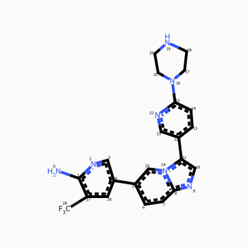 Nc1ncc(-c2ccc3ncc(-c4ccc(N5CCNCC5)nc4)n3c2)cc1C(F)(F)F